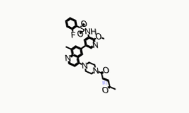 COc1ncc(-c2cc(C)c3nccc(N4CCN(C(=O)/C=C/C(C)=O)CC4)c3c2)cc1NS(=O)(=O)c1ccccc1F